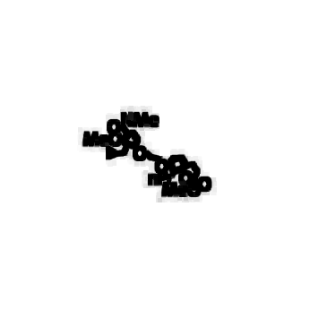 CCCc1c(OCCCOc2ccc(C(=O)NC)c(OC)c2CC2CC2)ccc2c1OC(C(=O)OC)CC2